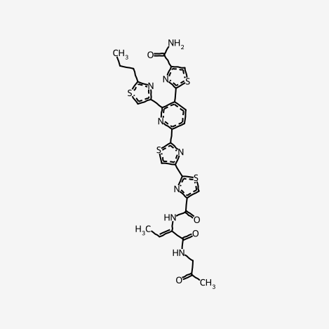 C/C=C(\NC(=O)c1csc(-c2csc(-c3ccc(-c4nc(C(N)=O)cs4)c(-c4csc(CCC)n4)n3)n2)n1)C(=O)NCC(C)=O